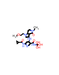 CCn1ccc2c(c(Nc3cc(NC(=O)C4CC4)ncc3C(=O)NC(O)(O)O)cn2CCOC)c1=O